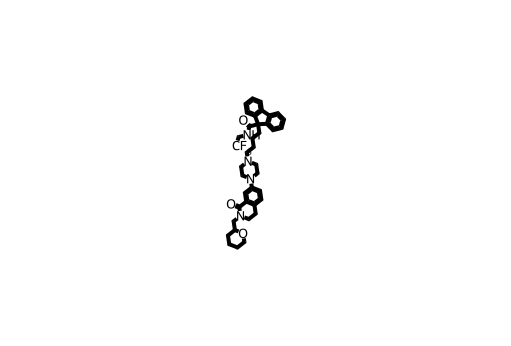 O=C1c2cc(N3CCN(CCCCC4(C(=O)NCC(F)(F)F)c5ccccc5-c5ccccc54)CC3)ccc2CCN1CC1CCCCO1